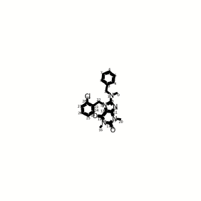 CN(Cc1ccccc1)c1nc2c(c(=O)n(C)c(=O)n2C)n1Cc1ccccc1Cl